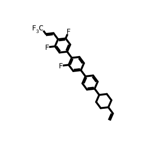 C=CC1CCC(c2ccc(-c3ccc(-c4cc(F)c(/C=C/C(F)(F)F)c(F)c4)c(F)c3)cc2)CC1